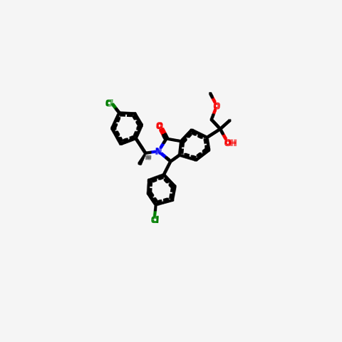 COCC(C)(O)c1ccc2c(c1)C(=O)N([C@@H](C)c1ccc(Cl)cc1)C2c1ccc(Cl)cc1